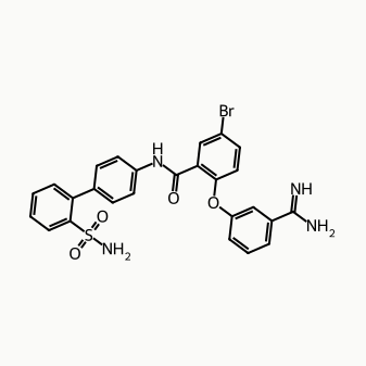 N=C(N)c1cccc(Oc2ccc(Br)cc2C(=O)Nc2ccc(-c3ccccc3S(N)(=O)=O)cc2)c1